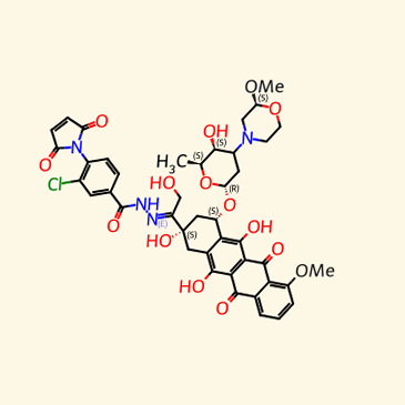 COc1cccc2c1C(=O)c1c(O)c3c(c(O)c1C2=O)C[C@@](O)(/C(CO)=N/NC(=O)c1ccc(N2C(=O)C=CC2=O)c(Cl)c1)C[C@@H]3O[C@H]1CC(N2CCO[C@H](OC)C2)[C@H](O)[C@H](C)O1